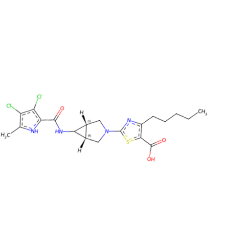 CCCCCc1nc(N2C[C@@H]3C(NC(=O)c4[nH]c(C)c(Cl)c4Cl)[C@@H]3C2)sc1C(=O)O